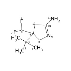 CC(C)(C)C1(C(F)F)CN=C(N)C1